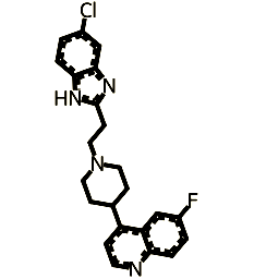 Fc1ccc2nccc(C3CCN(CCc4nc5cc(Cl)ccc5[nH]4)CC3)c2c1